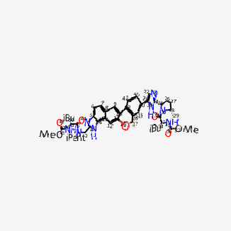 CCC[C@H](C)N(Cc1nc2ccc3cc4c(cc3c2[nH]1)OCc1cc(-c2cnc([C@@H]3CC[C@H](C)N3C(=O)[C@@H](NC(=O)OC)[C@@H](C)CC)[nH]2)ccc1-4)C(=O)[C@@H](NC(=O)OC)[C@@H](C)CC